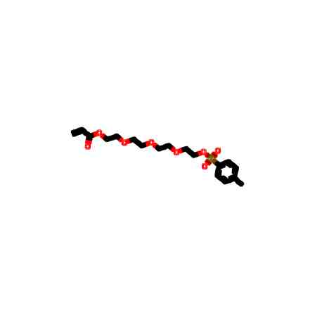 C=CC(=O)OCCOCCOCCOCCOS(=O)(=O)c1ccc(C)cc1